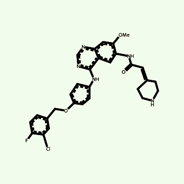 COc1cc2ncnc(Nc3ccc(OCc4ccc(F)c(Cl)c4)cc3)c2cc1NC(=O)C=C1CCNCC1